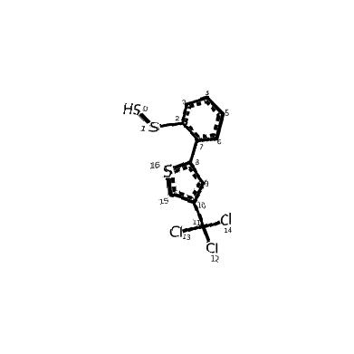 SSc1ccccc1-c1cc(C(Cl)(Cl)Cl)cs1